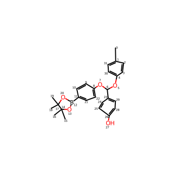 Cc1ccc(OC(Oc2ccc(B3OC(C)(C)C(C)(C)O3)cc2)c2ccc(O)cc2)cc1